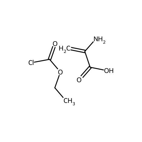 C=C(N)C(=O)O.CCOC(=O)Cl